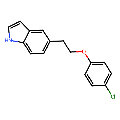 Clc1ccc(OCCc2ccc3[nH]ccc3c2)cc1